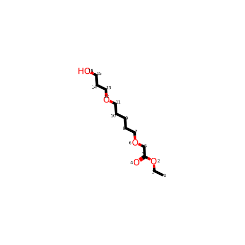 CCOC(=O)COCCCCCOCCCO